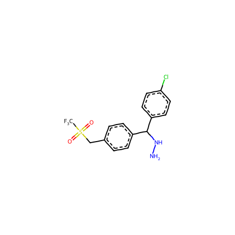 NNC(c1ccc(Cl)cc1)c1ccc(CS(=O)(=O)C(F)(F)F)cc1